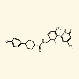 O=c1cc(C(F)(F)F)nc(-c2c(C(F)(F)F)ccc(CNC(=O)[C@H]3CC[C@H](c4ccc(Cl)cc4)CC3)c2F)[nH]1